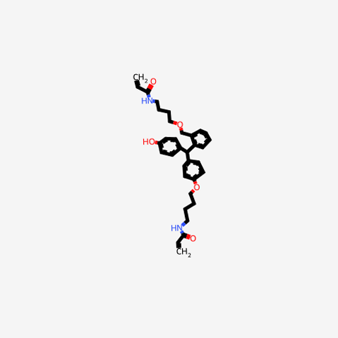 C=CC(=O)NCCCCOCc1ccccc1C(c1ccc(O)cc1)c1ccc(OCCCCNC(=O)C=C)cc1